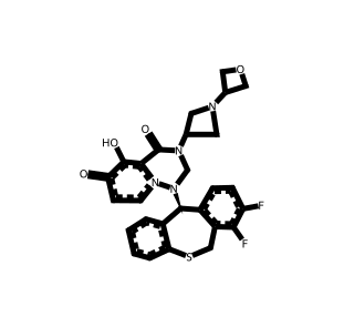 O=C1c2c(O)c(=O)ccn2N([C@@H]2c3ccccc3SCc3c2ccc(F)c3F)CN1C1CN(C2COC2)C1